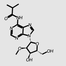 CO[C@@H]1[C@H](O)[C@@H](CO)O[C@H]1n1cnc2c(NC(=O)C(C)C)ncnc21